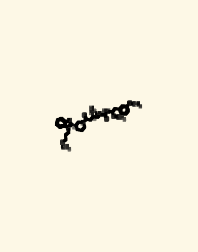 COCCCn1c([C@@H]2CCCN(C(=O)C[C@@H](N)CNC(=O)NC(Cc3cccc(OC)c3)OC)C2)nc2ccccc21